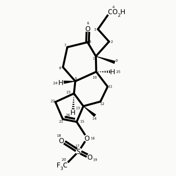 C[C@]1(CCC(=O)O)C(=O)CC[C@@H]2[C@@H]1CC[C@]1(C)C(OS(=O)(=O)C(F)(F)F)=CC[C@@H]21